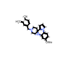 C=C/C=C(\C=C/CC#N)CN1CCC2(CC1)Nc1cc(OC)ccc1-n1cccc12